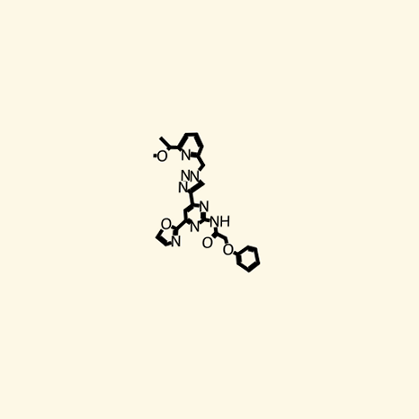 COC(C)c1cccc(Cn2cc(-c3cc(-c4ncco4)nc(NC(=O)COc4ccccc4)n3)nn2)n1